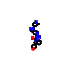 Cc1cc(-n2ncc3cc(NC(=O)NCC4(c5ccccc5)CCOCC4)ncc32)ccn1